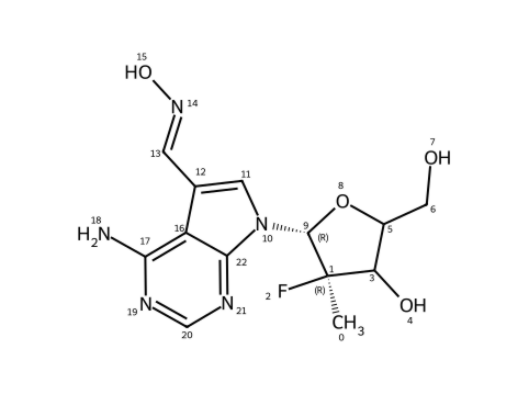 C[C@@]1(F)C(O)C(CO)O[C@H]1n1cc(C=NO)c2c(N)ncnc21